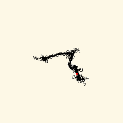 C=C(C)c1c(N)c(OP(=O)(O)O)cc2c1[C@H](CCl)CN2C(=O)C12CC(C(=O)N3C[C@@H](CCl)c4c3cc(OC(=S)N(C)CCN(C)C(=S)OCc3ccc(NC(=O)[C@H](CCCNC(N)=O)NC(=O)[C@@H](NC(=O)CCOCCOCCOCCOCCOCCOCCN5C(=O)CC(SC)C5=O)C(C)C)cc3)c3[nH]cc(C)c43)(C1)C2